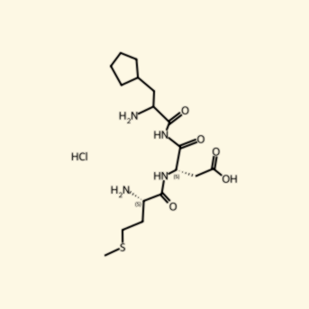 CSCC[C@H](N)C(=O)N[C@@H](CC(=O)O)C(=O)NC(=O)C(N)CC1CCCC1.Cl